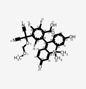 COCOC(C#N)(C#N)c1c(F)c(F)c(C(=O)O)c(C2=C3C=CC(=O)C=C3[Si](C)(C)c3cc(O)ccc32)c1F